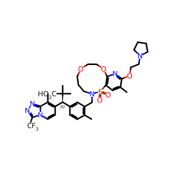 Cc1ccc([C@@H](c2ccn3c(C(F)(F)F)nnc3c2C)C(C)(C)C(=O)O)cc1CN1CCCOCCOc2nc(OCCN3CCCC3)c(C)cc2S1(=O)=O